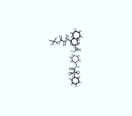 CC(C)(C)OC(=O)NNc1nc(NC[C@H]2CC[C@H](CNS(=O)(=O)c3ccccc3)CC2)nc2ccccc12